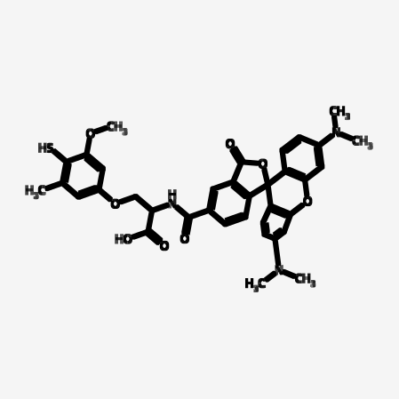 COc1cc(OCC(NC(=O)c2ccc3c(c2)C(=O)OC32c3ccc(N(C)C)cc3Oc3cc(N(C)C)ccc32)C(=O)O)cc(C)c1S